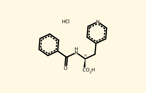 Cl.O=C(N[C@@H](Cc1ccncc1)C(=O)O)c1ccccc1